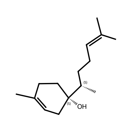 CC(C)=CCC[C@H](C)[C@@]1(O)CC=C(C)CC1